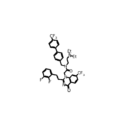 CCN(CC)CCN(Cc1ccc(-c2ccc(C(F)(F)F)cc2)cc1)C(=O)Cn1c(CCc2cccc(F)c2F)nc(=O)c2ccc(C(F)(F)F)cc21